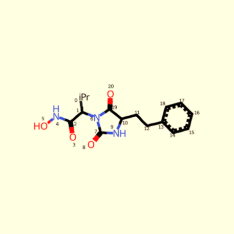 CC(C)C(C(=O)NO)N1C(=O)NC(CCc2ccccc2)C1=O